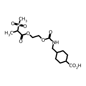 CC(C(=O)OCCOC(=O)NCC1CCC(C(=O)O)CC1)S(C)(=O)=O